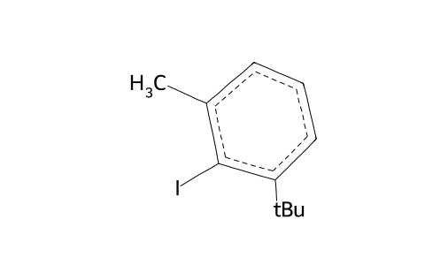 Cc1cccc(C(C)(C)C)c1I